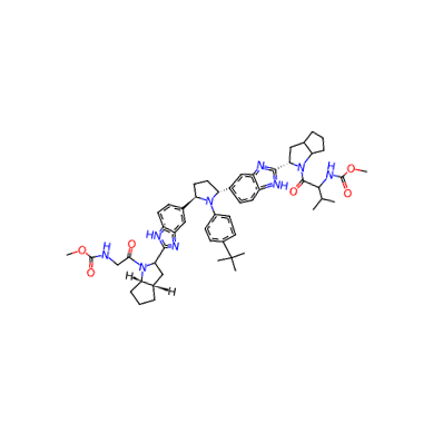 COC(=O)NCC(=O)N1C(c2nc3cc([C@H]4CC[C@H](c5ccc6[nH]c([C@@H]7CC8CCCC8N7C(=O)C(NC(=O)OC)C(C)C)nc6c5)N4c4ccc(C(C)(C)C)cc4)ccc3[nH]2)C[C@@H]2CCC[C@@H]21